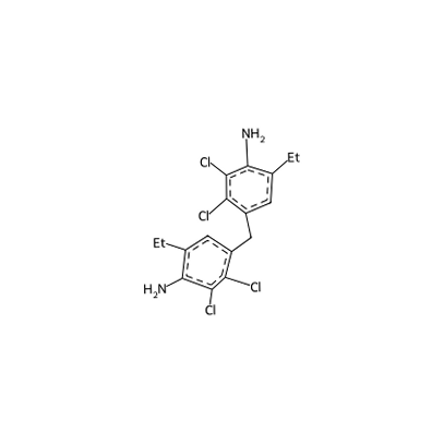 CCc1cc(Cc2cc(CC)c(N)c(Cl)c2Cl)c(Cl)c(Cl)c1N